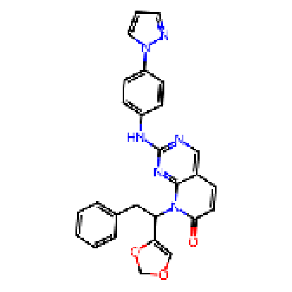 O=c1ccc2cnc(Nc3ccc(-n4cccn4)cc3)nc2n1C(Cc1ccccc1)C1=COCO1